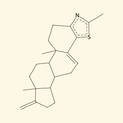 C=C1CCC2C3CC=C4c5sc(C)nc5CCC4(C)C3CCC12C